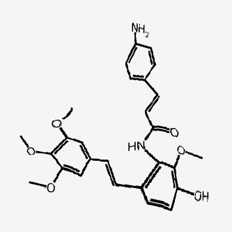 COc1cc(C=Cc2ccc(O)c(OC)c2NC(=O)/C=C/c2ccc(N)cc2)cc(OC)c1OC